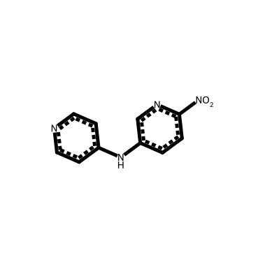 O=[N+]([O-])c1ccc(Nc2ccncc2)cn1